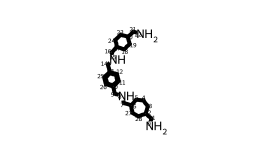 NCC1CCCC(CNCc2ccc(CNCC3CCC(CN)CC3)cc2)CC1